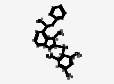 CCCN(Cc1ccccc1)c1cccc2nc(Nc3c(C)cc(C)cc3C)n(C)c12